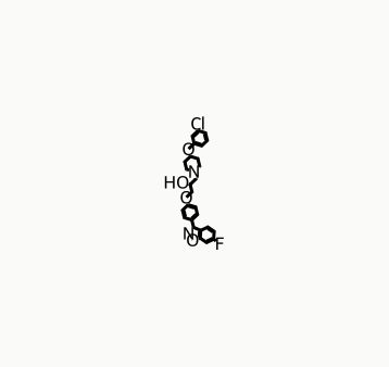 OC(COc1ccc(-c2noc3cc(F)ccc23)cc1)CN1CCC(Oc2cccc(Cl)c2)CC1